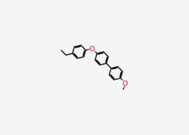 CCc1ccc(Oc2ccc(-c3ccc(OC)cc3)cc2)cc1